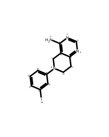 Nc1ncnc2c1CN(c1cccc(I)c1)CC2